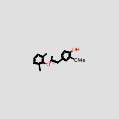 COc1cc(/C=C(\C)Oc2c(C)cccc2C)ccc1O